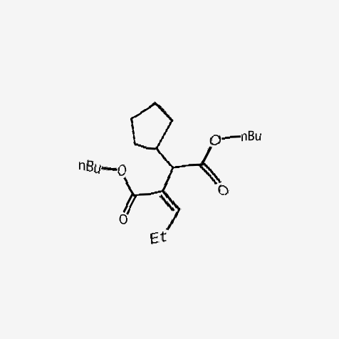 CCC=C(C(=O)OCCCC)C(C(=O)OCCCC)C1CCCC1